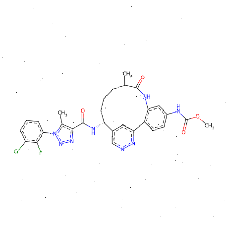 COC(=O)Nc1ccc2c(c1)NC(=O)C(C)CCC[C@@H](NC(=O)c1nnn(-c3cccc(Cl)c3F)c1C)c1cnnc-2c1